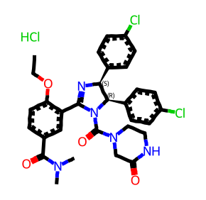 CCOc1ccc(C(=O)N(C)C)cc1C1=N[C@@H](c2ccc(Cl)cc2)[C@@H](c2ccc(Cl)cc2)N1C(=O)N1CCNC(=O)C1.Cl